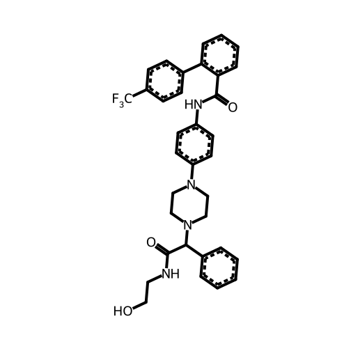 O=C(Nc1ccc(N2CCN(C(C(=O)NCCO)c3ccccc3)CC2)cc1)c1ccccc1-c1ccc(C(F)(F)F)cc1